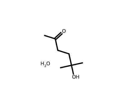 CC(=O)CCC(C)(C)O.O